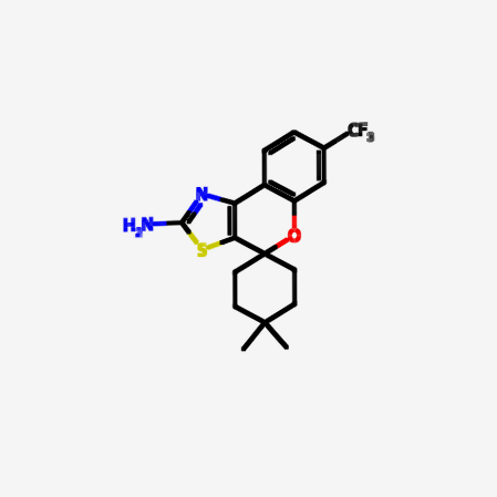 CC1(C)CCC2(CC1)Oc1cc(C(F)(F)F)ccc1-c1nc(N)sc12